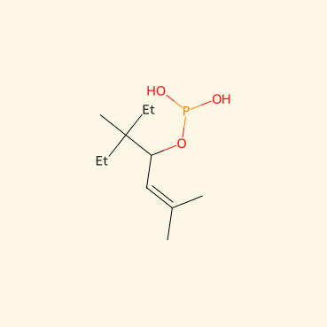 CCC(C)(CC)C(C=C(C)C)OP(O)O